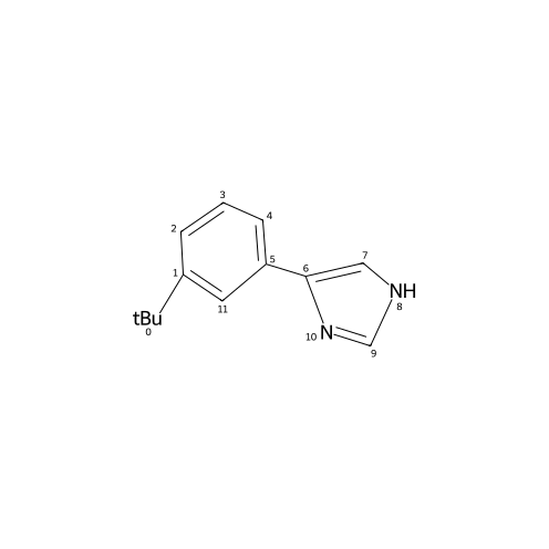 CC(C)(C)c1cccc(-c2c[nH]cn2)c1